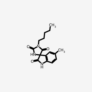 CCCCCN1C(=O)NC2(C(=O)Nc3ccc(C)cc32)C1=O